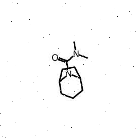 CN(C)C(=O)N1C2CCCC1CC2